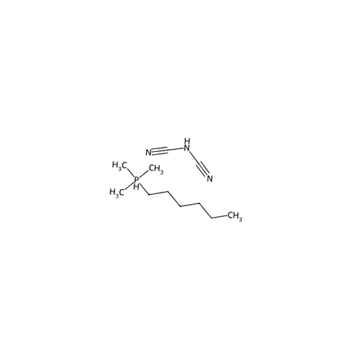 CCCCCC[PH](C)(C)C.N#CNC#N